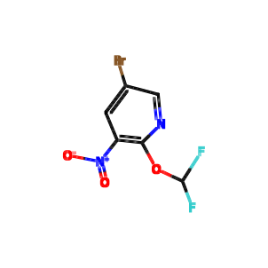 O=[N+]([O-])c1cc(Br)cnc1OC(F)F